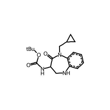 CC(C)(C)OC(=O)NC1CNc2ccccc2N(CC2CC2)C1=O